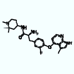 Cc1c[nH]c2nccc(Oc3ccc(C[C@H](N)C(=O)NC4CCN(C)C(C)(C)C4)cc3F)c12